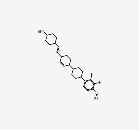 CCCC1CCC(/C=C/C2C=CC(C3CCC(c4ccc(OCC)c(F)c4F)CC3)CC2)CC1